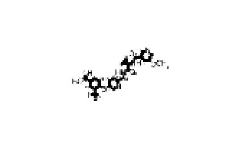 COc1cncc(C(=O)NC2(C(=O)NCc3ccc(Oc4ccc(C(C)O)cc4C(F)(F)F)cn3)CC2)c1